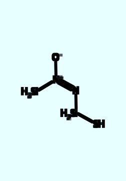 [O-][N+]([SiH3])=N[SiH2]S